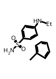 CCNc1ccc(S(N)(=O)=O)cc1.Cc1ccccc1